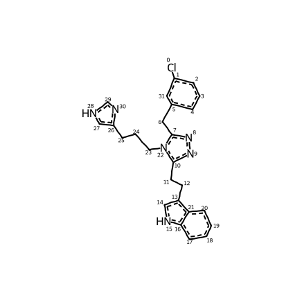 Clc1cccc(Cc2nnc(CCc3c[nH]c4ccccc34)n2CCCc2c[nH]cn2)c1